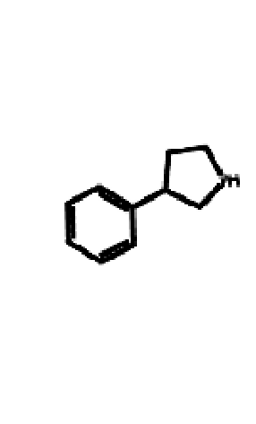 c1ccc(C2CCPC2)cc1